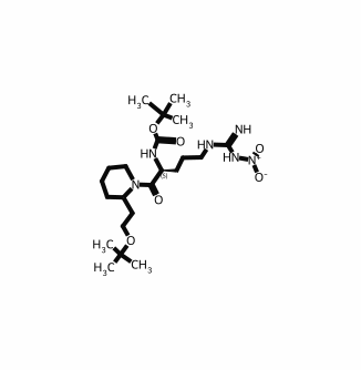 CC(C)(C)OCCC1CCCCN1C(=O)[C@H](CCCNC(=N)N[N+](=O)[O-])NC(=O)OC(C)(C)C